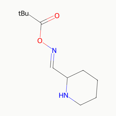 CC(C)(C)C(=O)ON=CC1CCCCN1